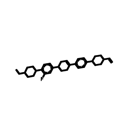 C=CC1CCC(c2ccc(C3=CCC(c4ccc(C5CCC(CC)CC5)c(F)c4)CC3)cc2)CC1